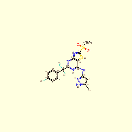 CNS(=O)(=O)c1nc2nc(C(F)(F)c3ccc(F)cc3)nc(Nc3cc(C)[nH]n3)c2s1